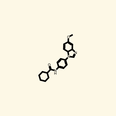 COC1=CC2N=CN(c3ccc(NC(=O)C4CCCCC4)cc3)C2C=C1